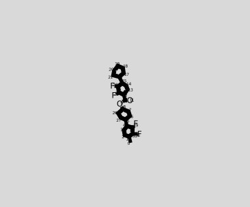 Cc1ccc(-c2ccc(OC(=O)c3ccc(-c4ccccc4)c(F)c3F)cc2)c(F)c1F